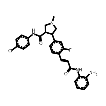 CN1CC(C(=O)Nc2ccc(Cl)cc2)C(c2ccc(/C=C/C(=O)Nc3ccccc3N)c(F)c2)C1